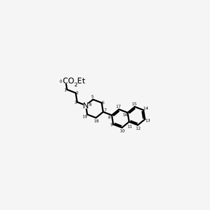 CCOC(=O)CCCN1CCC(c2ccc3ccccc3c2)CC1